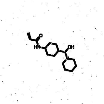 C=CC(=O)NC1CCC(C(O)N2CCCCC2)CC1